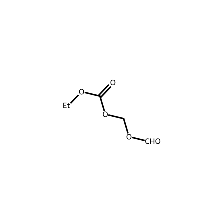 CCOC(=O)OCOC=O